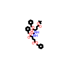 CC(C)(C)OC(=O)CCC(NC(=O)NC(CCC(=O)OCc1ccccc1)C(=O)OCc1ccccc1)C(=O)OCc1ccccc1